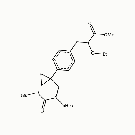 CCCCCCCN(CC1(c2ccc(CC(OCC)C(=O)OC)cc2)CC1)C(=O)OC(C)(C)C